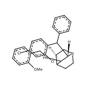 COc1ccccc1CN[C@@H]1C2CCN(CC2)[C@H]1C(c1ccccc1)c1ccc(Cl)cc1Cl